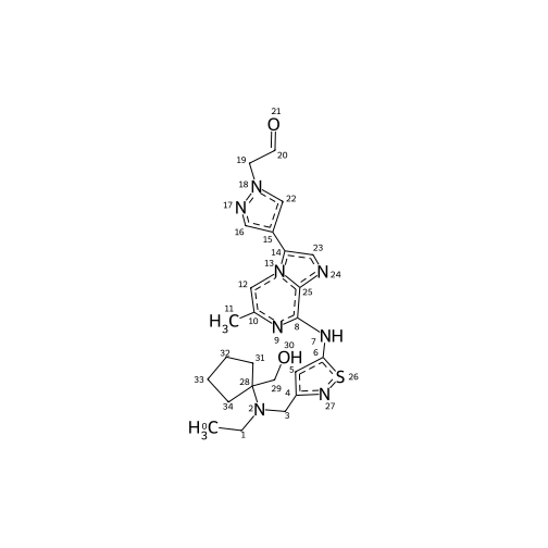 CCN(Cc1cc(Nc2nc(C)cn3c(-c4cnn(CC=O)c4)cnc23)sn1)C1(CO)CCCC1